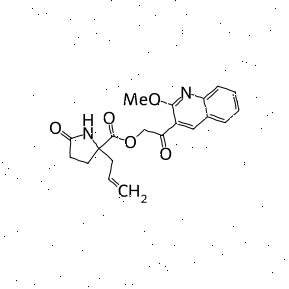 C=CCC1(C(=O)OCC(=O)c2cc3ccccc3nc2OC)CCC(=O)N1